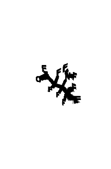 O=C(F)C(F)(F)C(F)(N(F)F)C(F)(F)F